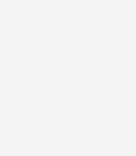 CCc1ccc(C#N)c(C(C)C)c1